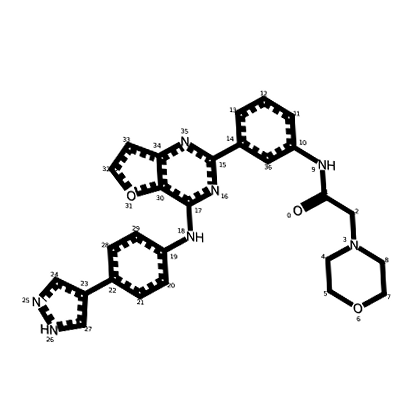 O=C(CN1CCOCC1)Nc1cccc(-c2nc(Nc3ccc(-c4cn[nH]c4)cc3)c3occc3n2)c1